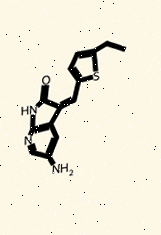 CCc1ccc(C=C2C(=O)Nc3ncc(N)cc32)s1